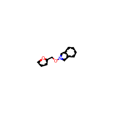 [c]1c2ccccc2cn1OCc1ccco1